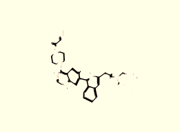 C=CC(=O)N1CCN(c2ncnc3cc(-c4nc(CC(C)(C)N(CC#N)C(=O)O)cc5ccccc45)c(Cl)cc23)CC1